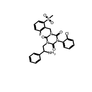 CS(=O)(=O)c1cccc(F)c1Cn1c(=O)n(CC(N)c2ccccc2)c(=O)n(-c2ccccc2Cl)c1=O